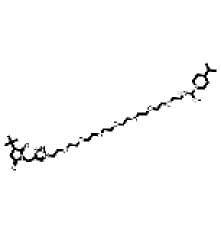 CC(C)C1CCN(C(O)NCCOCCOCCOCCOCCOCCOCCOCCn2cc(CN3C(=O)CC(C(C)(C)C)C3=O)nn2)CC1